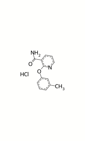 Cc1cccc(Oc2ncccc2C(N)=O)c1.Cl